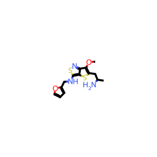 COc1c(CC(C)N)sc2c(NCc3ccco3)snc12